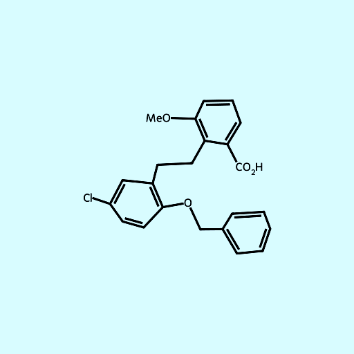 COc1cccc(C(=O)O)c1CCc1cc(Cl)ccc1OCc1ccccc1